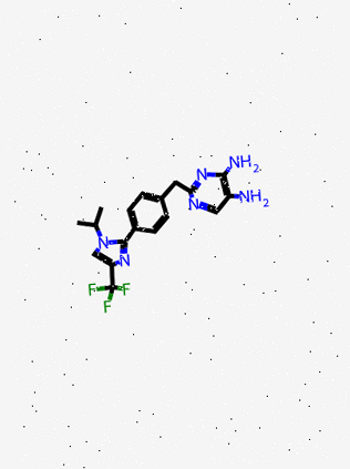 CC(C)n1cc(C(F)(F)F)nc1-c1ccc(Cc2ncc(N)c(N)n2)cc1